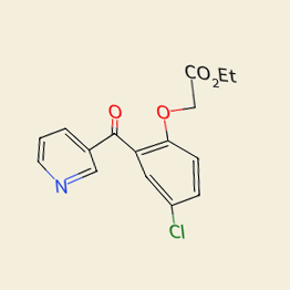 CCOC(=O)COc1ccc(Cl)cc1C(=O)c1cccnc1